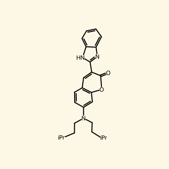 CC(C)CCN(CCC(C)C)c1ccc2cc(-c3nc4ccccc4[nH]3)c(=O)oc2c1